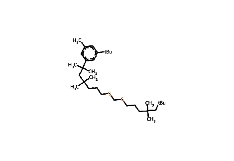 Cc1cc(C(C)(C)C)cc(C(C)(C)CC(C)(C)CCCSCSCCCC(C)(C)CC(C)(C)C)c1